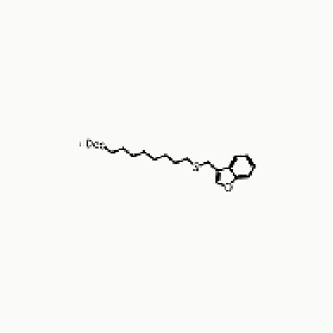 CCCCCCCCCCCCCCCCCCSCc1coc2ccccc12